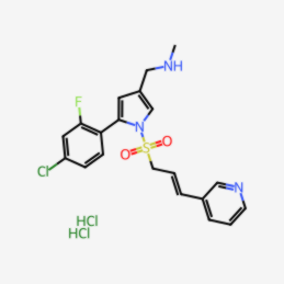 CNCc1cc(-c2ccc(Cl)cc2F)n(S(=O)(=O)CC=Cc2cccnc2)c1.Cl.Cl